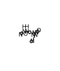 O=C(Nc1ccncc1)Nc1ccc(-c2nc(CCCN3CCCC3)nc(N3CCOCC3)n2)cc1